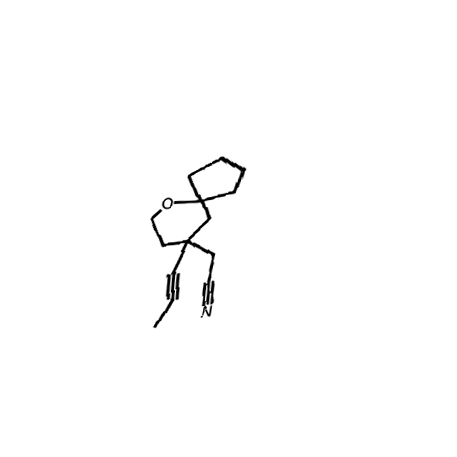 CC#CC1(CC#N)CCOC2(CCCC2)C1